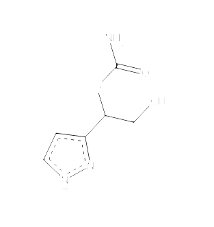 CCC(OC(N)=O)c1cc[nH]n1